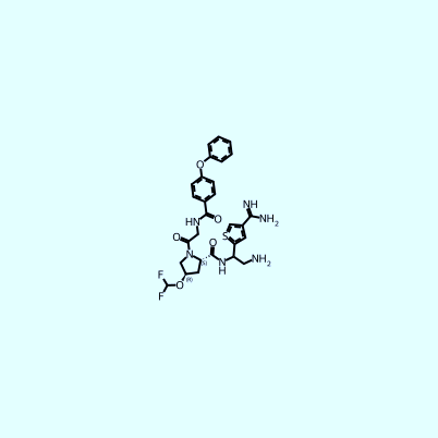 N=C(N)c1csc(C(CN)NC(=O)[C@@H]2C[C@@H](OC(F)F)CN2C(=O)CNC(=O)c2ccc(Oc3ccccc3)cc2)c1